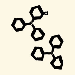 Cl.c1ccc(P(c2ccccc2)c2ccccc2)cc1.c1ccc(P(c2ccccc2)c2ccccc2)cc1